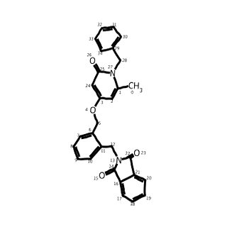 Cc1cc(OCc2ccccc2CN2C(=O)c3ccccc3C2=O)cc(=O)n1Cc1ccccc1